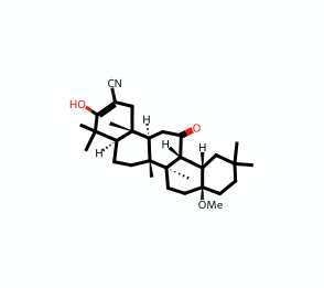 CO[C@]12CCC(C)(C)C[C@H]1[C@H]1C(=O)C[C@@H]3[C@@]4(C)CC(C#N)=C(O)C(C)(C)[C@@H]4CC[C@@]3(C)[C@]1(C)CC2